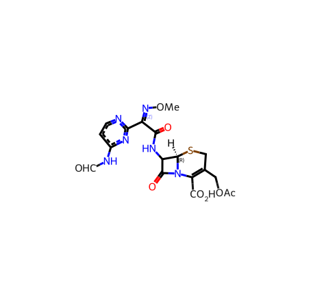 CO/N=C(\C(=O)NC1C(=O)N2C(C(=O)O)=C(COC(C)=O)CS[C@H]12)c1nccc(NC=O)n1